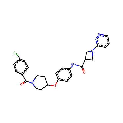 O=C(Nc1ccc(OC2CCN(C(=O)c3ccc(Cl)cc3)CC2)cc1)C1CN(c2cccnn2)C1